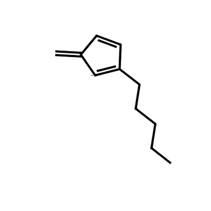 C=C1[C]=C(CCCCC)C=C1